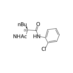 CCCC[C@H](NC(C)=O)C(=O)Nc1ccccc1Cl